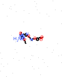 CCCCOc1nc(N)c2nc(OC)n(Cc3ccc(OCCCN(C)CCOc4cccc(CC(=O)OC)c4)nc3)c2n1